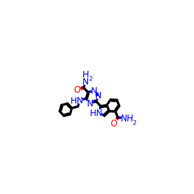 NC(=O)c1nnc(-c2[nH]cc3c(C(N)=O)cccc23)nc1NCc1ccccc1